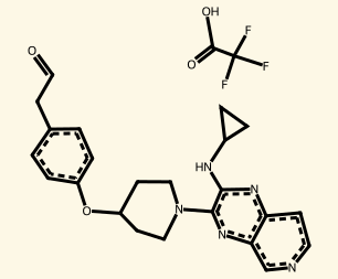 O=C(O)C(F)(F)F.O=CCc1ccc(OC2CCN(c3nc4cnccc4nc3NC3CC3)CC2)cc1